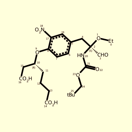 CCO[C@](C=O)(Cc1ccc(O[C@H](CCCC(=O)O)CC(=O)O)c([N+](=O)[O-])c1)NC(=O)OCC(C)(C)C